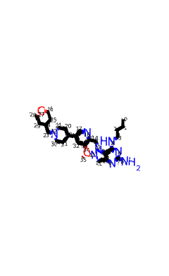 CCCCNc1nc(N)nc2cnn(Cc3ncc(C4CCN(CC5CCOCC5)CC4)cc3OC)c12